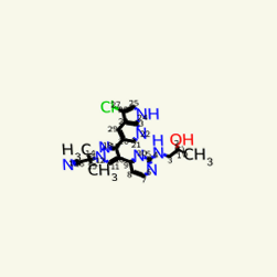 C[C@H](O)CNc1nccc(-c2cn(C(C)(C)C#N)nc2-c2cnc3[nH]cc(Cl)c3c2)n1